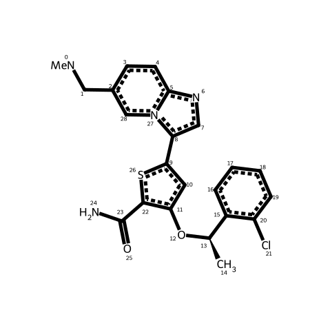 CNCc1ccc2ncc(-c3cc(O[C@H](C)c4ccccc4Cl)c(C(N)=O)s3)n2c1